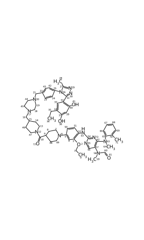 CCOc1cc(N2CCC(C(=O)N3CCC(CN4CCN(Cc5ccc(-n6c(C)nnc6-c6cc(CC)c(O)cc6O)cc5)CC4)CC3)CC2)ccc1Nc1ncc(N(C)C=O)c(N(C)c2ccccc2C)n1